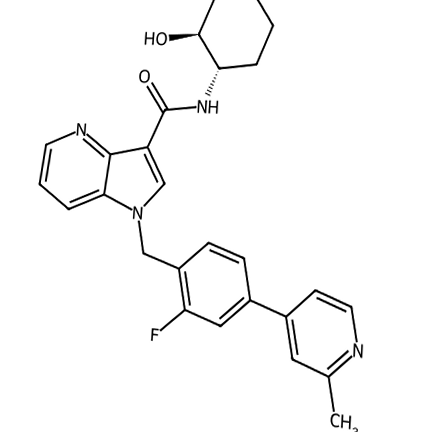 Cc1cc(-c2ccc(Cn3cc(C(=O)N[C@H]4CCCC[C@@H]4O)c4ncccc43)c(F)c2)ccn1